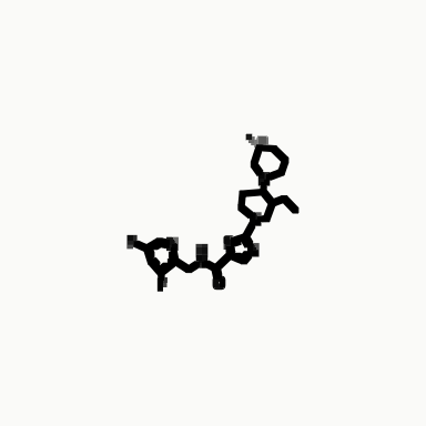 CCC1CN(c2ncc(C(=O)NCc3ncc(F)cc3F)s2)CCC1N1CCC[C@@H](C)C1